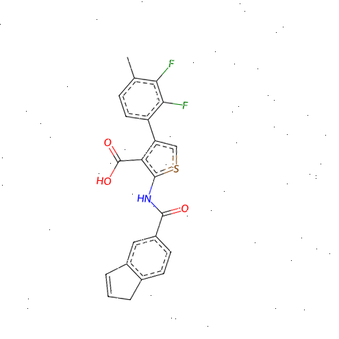 Cc1ccc(-c2csc(NC(=O)c3ccc4c(c3)C=CC4)c2C(=O)O)c(F)c1F